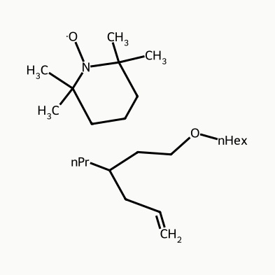 C=CCC(CCC)CCOCCCCCC.CC1(C)CCCC(C)(C)N1[O]